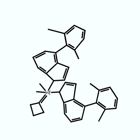 Cc1cccc(C)c1-c1cccc2c1C=C[CH]2[Hf]([CH3])([CH3])(=[C]1CCC1)[CH]1C=Cc2c(-c3c(C)cccc3C)cccc21